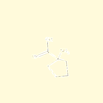 NC1(C(O)=P)CCCC1